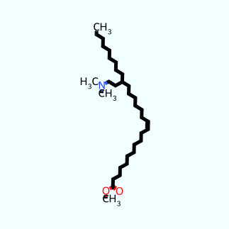 CCCCCCCCCC(CCCCCC/C=C\CCCCCCCCCC(=O)OC)CCN(C)C